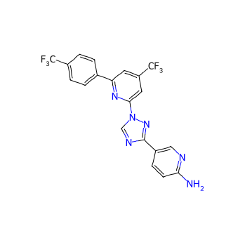 Nc1ccc(-c2ncn(-c3cc(C(F)(F)F)cc(-c4ccc(C(F)(F)F)cc4)n3)n2)cn1